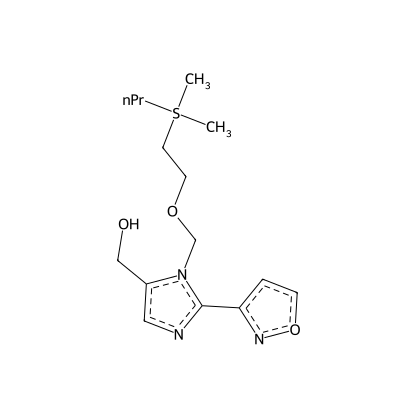 CCCS(C)(C)CCOCn1c(CO)cnc1-c1ccon1